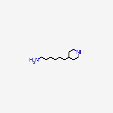 NCCCCCCC1CCNCC1